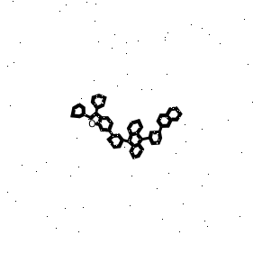 c1ccc(-c2oc3cc(-c4cccc(-c5c6ccccc6c(-c6cccc(-c7ccc8ccccc8c7)c6)c6ccccc56)c4)ccc3c2-c2ccccc2)cc1